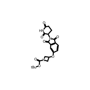 CC(C)(C)OC(=O)N1CC(Oc2ccc3c(c2)C(=O)N(C2CCC(=O)NC2=O)C3=O)C1